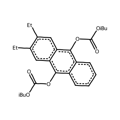 CCc1cc2c(OC(=O)OCC(C)C)c3ccccc3c(OC(=O)OCC(C)C)c2cc1CC